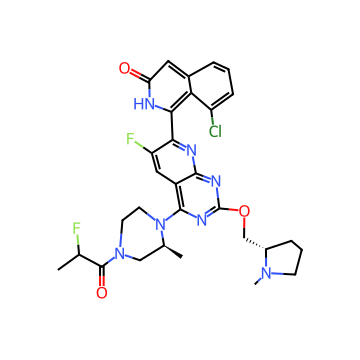 CC(F)C(=O)N1CCN(c2nc(OC[C@@H]3CCCN3C)nc3nc(-c4[nH]c(=O)cc5cccc(Cl)c45)c(F)cc23)[C@@H](C)C1